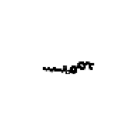 CCCCCCCCC(=O)Oc1ccc(C2=CCC(CC(C)CC)CC2)cc1